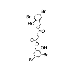 O=C(C=CC(=O)OCc1cc(Br)cc(Br)c1O)OCc1cc(Br)cc(Br)c1O